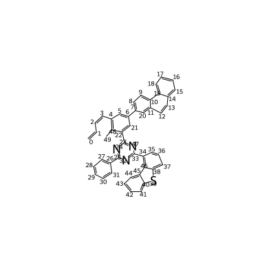 C=C/C=C\c1cc(-c2ccc3c(ccc4ccccc43)c2)cc(-c2nc(-c3ccccc3)nc(-c3cccc4sc5ccccc5c34)n2)c1C